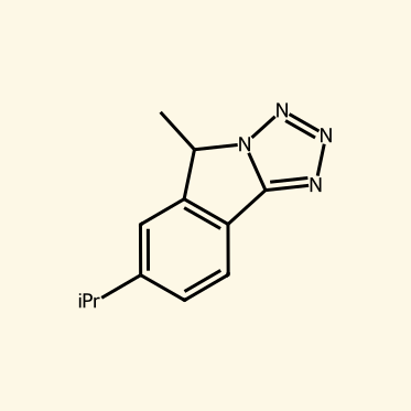 CC(C)c1ccc2c(c1)C(C)n1nnnc1-2